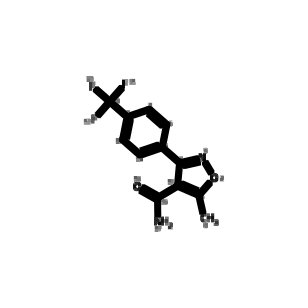 Cc1onc(-c2ccc(C(F)(F)F)cc2)c1C(N)=O